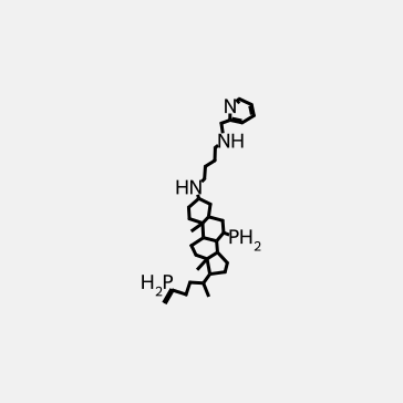 C=C(P)CCC(C)C1CCC2C3C(P)CC4CC(NCCCCNCc5ccccn5)CCC4(C)C3CCC12C